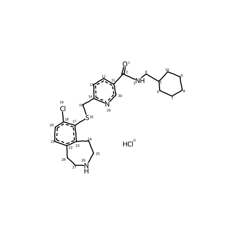 Cl.O=C(NCC1CCCCC1)c1ccc(CSc2c(Cl)ccc3c2CCNCC3)nc1